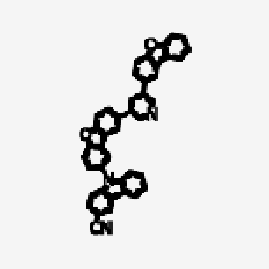 N#Cc1ccc2c(c1)c1ccccc1n2-c1ccc2oc3ccc(-c4cncc(-c5ccc6oc7ccccc7c6c5)c4)cc3c2c1